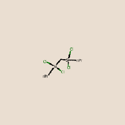 CCC[Si](Cl)(Cl)C[Si](Cl)(Cl)CCC